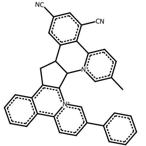 Cc1ccc2[n+](c1)C1c3c(c4ccccc4c4ccc(-c5ccccc5)c[n+]34)CC1c1cc(C#N)cc(C#N)c1-2